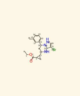 CCOC(=O)C1CC1C1CC(c2cccc(C)c2)N2NC=C(Br)C2N1